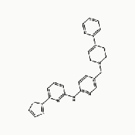 C1=C(c2ccccc2)CCN(Cc2ccc(Nc3cccc(-c4nccs4)n3)nc2)C1